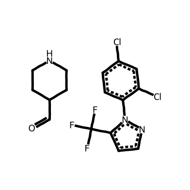 FC(F)(F)c1ccnn1-c1ccc(Cl)cc1Cl.O=CC1CCNCC1